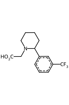 O=C(O)CN1CCCCC1c1cccc(C(F)(F)F)c1